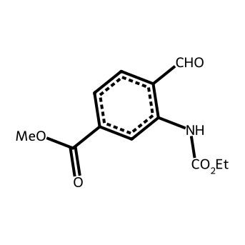 CCOC(=O)Nc1cc(C(=O)OC)ccc1C=O